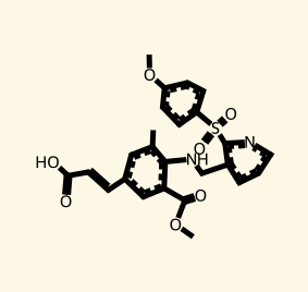 COC(=O)c1cc(/C=C/C(=O)O)cc(C)c1NCc1cccnc1S(=O)(=O)c1ccc(OC)cc1